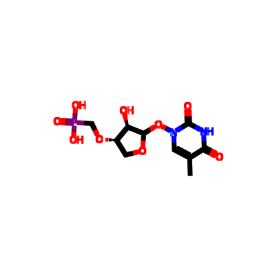 Cc1cn(OC2OC[C@H](OCP(=O)(O)O)[C@H]2O)c(=O)[nH]c1=O